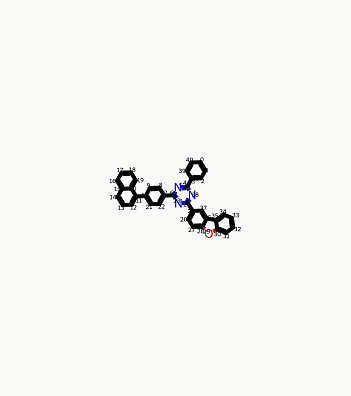 c1ccc(-c2nc(-c3ccc(-c4cccc5ccccc45)cc3)nc(-c3ccc4oc5ccccc5c4c3)n2)cc1